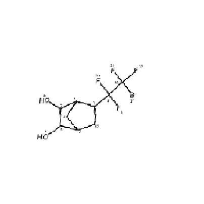 OC1C2CC(C1O)C(C(F)(F)C(F)(F)Br)C2